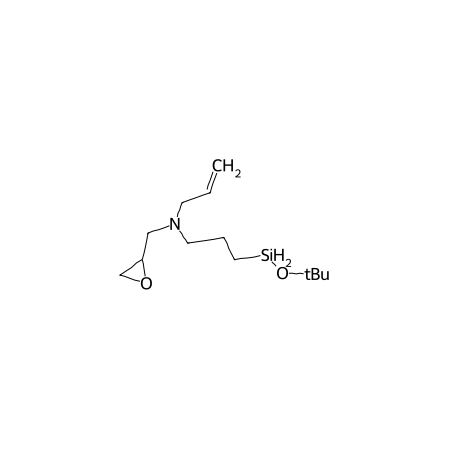 C=CCN(CCC[SiH2]OC(C)(C)C)CC1CO1